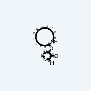 Clc1nnnc(OC2CCCCCCCCCCCN2)c1Cl